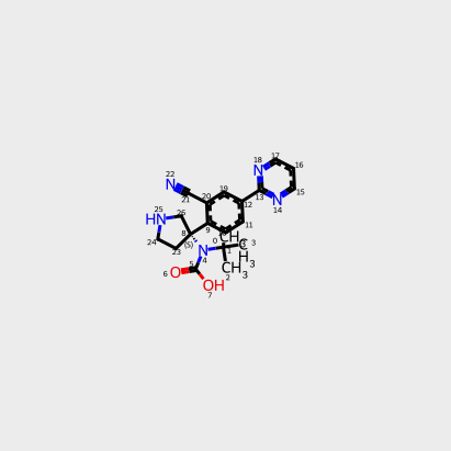 CC(C)(C)N(C(=O)O)[C@]1(c2ccc(-c3ncccn3)cc2C#N)CCNC1